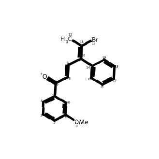 COc1cccc(C(=O)/C=C/C(=C(\C)Br)c2ccccc2)c1